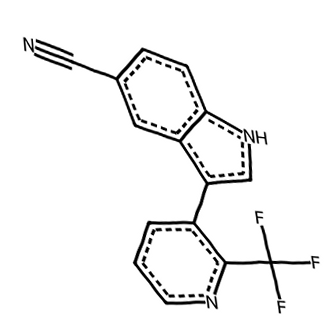 N#Cc1ccc2[nH]cc(-c3cccnc3C(F)(F)F)c2c1